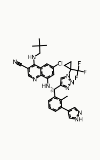 Cc1c(-c2cn[nH]c2)cccc1[C@H](Nc1cc(Cl)cc2c(NCC(C)(C)C)c(C#N)cnc12)c1cn(C2(C(F)(F)F)CC2)nn1